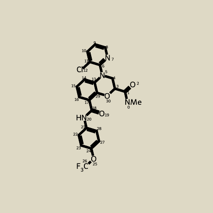 CNC(=O)C1CN(c2ncccc2Cl)c2cccc(C(=O)Nc3ccc(OC(F)(F)F)cc3)c2O1